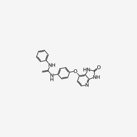 C=C(Nc1ccccc1)Nc1ccc(Oc2ccnc3[nH]c(=O)[nH]c23)cc1